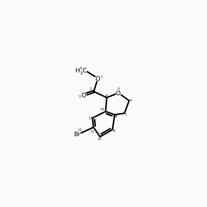 COC(=O)C1OCCc2ccc(Br)cc21